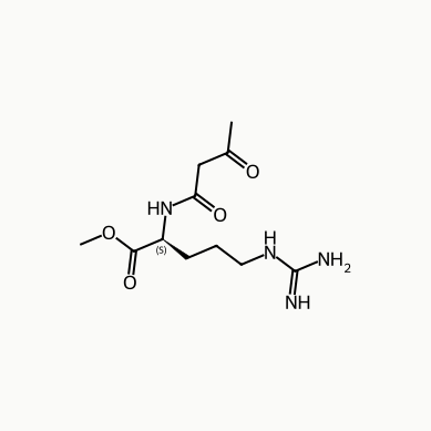 COC(=O)[C@H](CCCNC(=N)N)NC(=O)CC(C)=O